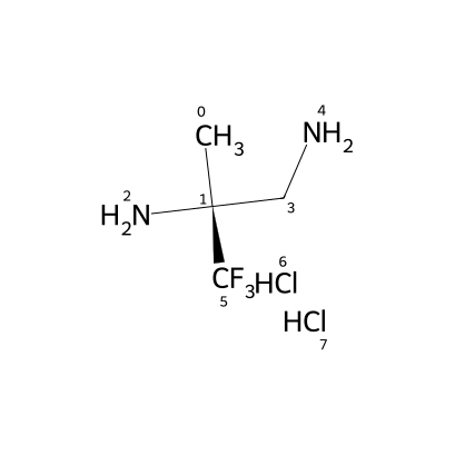 C[C@@](N)(CN)C(F)(F)F.Cl.Cl